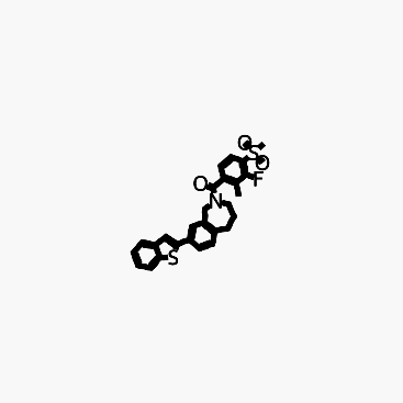 Cc1c(C(=O)N2CCCc3ccc(-c4cc5ccccc5s4)cc3C2)ccc(S(C)(=O)=O)c1F